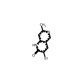 CCc1cc2cnc(C)cc2[nH]c1=O